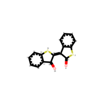 O=C1Sc2ccccc2C1=C1Sc2ccccc2C1=O